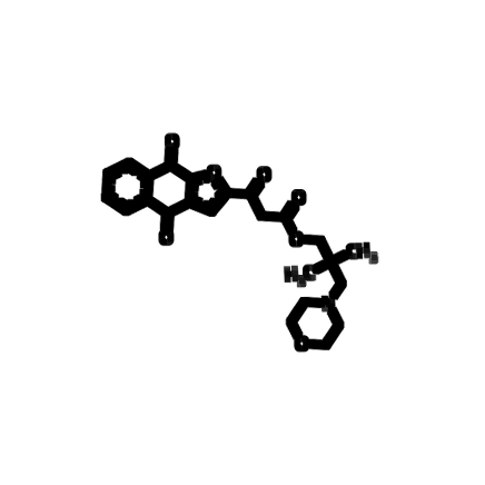 CC(C)(COC(=O)CC(=O)c1cc2c(o1)C(=O)c1ccccc1C2=O)CN1CCOCC1